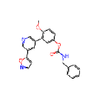 COc1ccc(OC(=O)NCc2ccccc2)cc1-c1cncc(-c2ccno2)c1